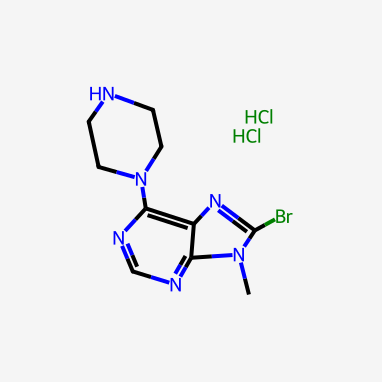 Cl.Cl.Cn1c(Br)nc2c(N3CCNCC3)ncnc21